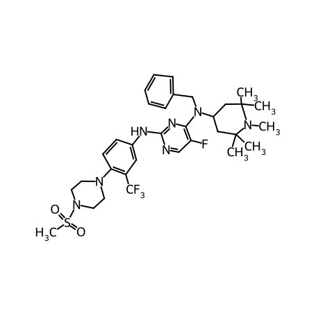 CN1C(C)(C)CC(N(Cc2ccccc2)c2nc(Nc3ccc(N4CCN(S(C)(=O)=O)CC4)c(C(F)(F)F)c3)ncc2F)CC1(C)C